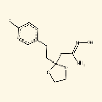 N/C(CC1(CCc2ccc(F)cc2)OCCO1)=N\O